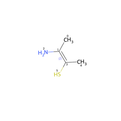 C/C(N)=C(\C)S